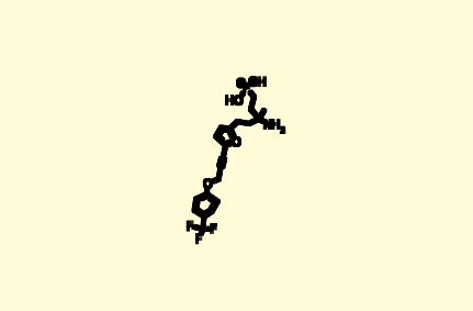 CC(N)(CCc1ccc(C#CCOc2ccc(C(F)(F)F)cc2)o1)CCP(=O)(O)O